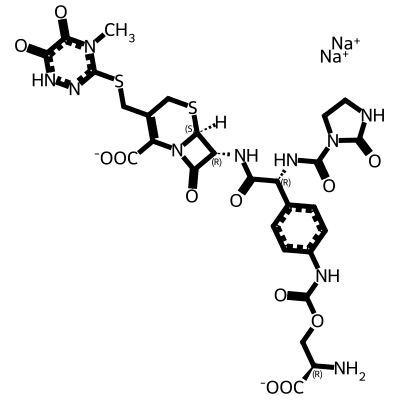 Cn1c(SCC2=C(C(=O)[O-])N3C(=O)[C@@H](NC(=O)[C@H](NC(=O)N4CCNC4=O)c4ccc(NC(=O)OC[C@@H](N)C(=O)[O-])cc4)[C@@H]3SC2)n[nH]c(=O)c1=O.[Na+].[Na+]